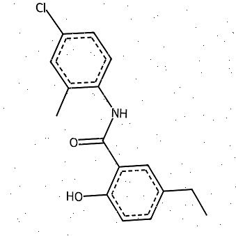 CCc1ccc(O)c(C(=O)Nc2ccc(Cl)cc2C)c1